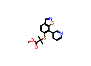 COC(=O)C(C)(C)Sc1ccc2cnsc2c1-c1cccnc1